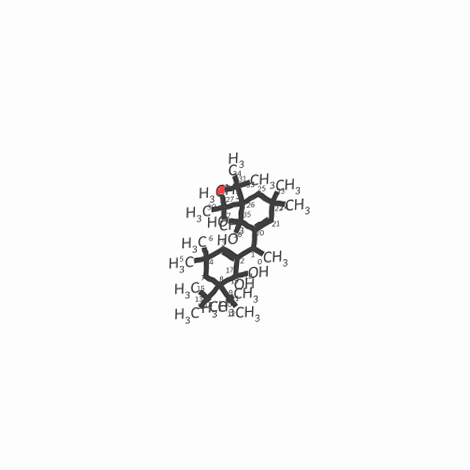 CC(C1=CC(C)(C)CC(C(C)(C)C)(C(C)(C)C)C1(O)O)C1=CC(C)(C)CC(C(C)(C)C)(C(C)(C)C)C1(O)O